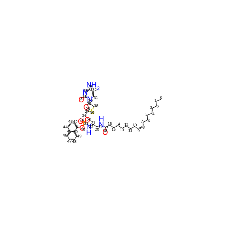 CCCCCCCC/C=C\CCCCCCCC(=O)NCCNP(=O)(OC[C@@H]1OC(n2ccc(N)nc2=O)CS1)Oc1cccc2ccccc12